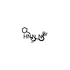 Brc1cccc(-c2csc(NCC3CCCCC3)n2)n1